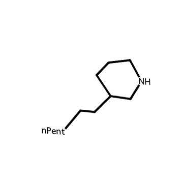 CCCCCCCC1CCCNC1